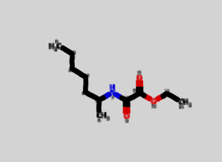 CCCCCC(C)NC(=O)C(=O)OCC